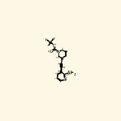 CC(C)(C)OC(=O)N1CCCC(C#Cc2cccnc2N)C1